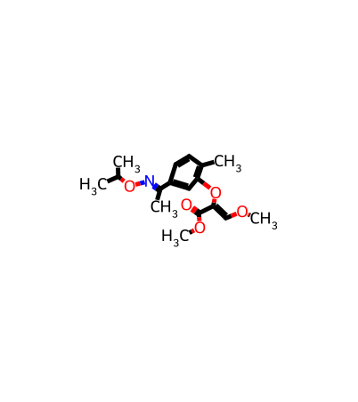 CO/C=C(\Oc1cc(/C(C)=N/OC(C)C)ccc1C)C(=O)OC